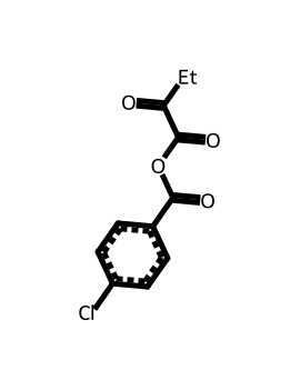 CCC(=O)C(=O)OC(=O)c1ccc(Cl)cc1